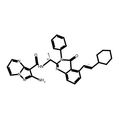 C[C@@H](NC(=O)c1c(N)nn2cccnc12)c1nc2cccc(/C=C/C3CCCCC3)c2c(=O)n1-c1ccccc1